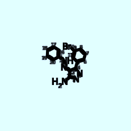 NC1=NN=C(c2cccc(Br)c2)/C1=N\Nc1ccccc1